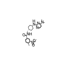 Cc1ccc(C(=O)NC[C@H]2CC[C@@H](Nc3nccc(N(C)C)n3)CC2)cc1[N+](=O)[O-]